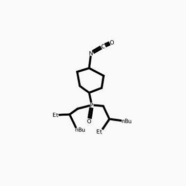 CCCCC(CC)CP(=O)(CC(CC)CCCC)C1CCC(N=C=O)CC1